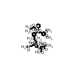 CCC(C)(C)C(=O)C(=O)N1CCCC[C@H]1C(=O)O[C@H](CCc1ccc(OC)c(OC)c1)c1cccc(C(C)(C)CCC(C)(C)N2C[C@@H](SC3=C(C(=O)O)N4C(=O)[C@H]([C@@H](C)O)[C@H]4[C@H]3C)C[C@H]2[C@H](O)CCNC)c1